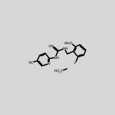 CC(=O)O.COc1cccc(F)c1CNC(=N)Nc1ccc(C#N)cn1